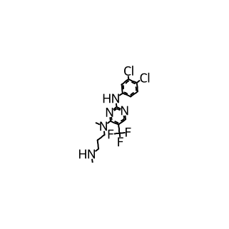 CNCCCN(C)c1nc(Nc2ccc(Cl)c(Cl)c2)ncc1C(F)(F)F